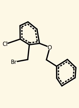 Clc1cccc(OCc2ccccc2)c1CBr